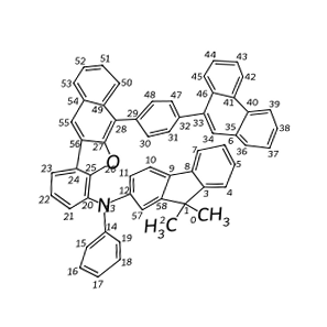 CC1(C)c2ccccc2-c2ccc(N(c3ccccc3)c3cccc4c3oc3c(-c5ccc(-c6cc7ccccc7c7ccccc67)cc5)c5ccccc5cc34)cc21